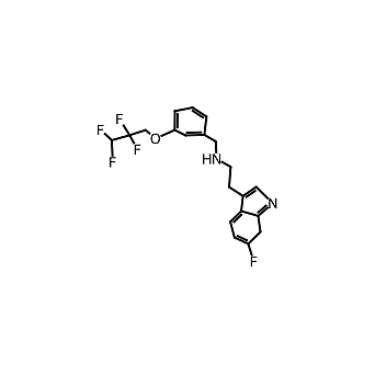 FC1=CC=C2C(CCNCc3cccc(OCC(F)(F)C(F)F)c3)=CN=C2C1